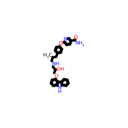 CC(CNCC(O)COc1cccc2[nH]c3ccccc3c12)Cc1ccc(Oc2ccc(C(N)=O)cn2)cc1